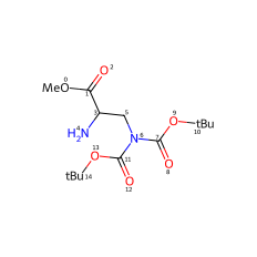 COC(=O)C(N)CN(C(=O)OC(C)(C)C)C(=O)OC(C)(C)C